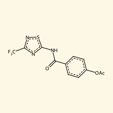 CC(=O)Oc1ccc(C(=O)Nc2nc(C(F)(F)F)ns2)cc1